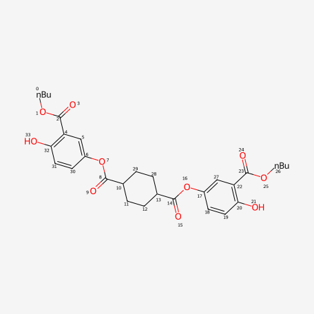 CCCCOC(=O)c1cc(OC(=O)C2CCC(C(=O)Oc3ccc(O)c(C(=O)OCCCC)c3)CC2)ccc1O